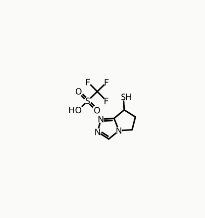 O=S(=O)(O)C(F)(F)F.SC1CCn2cnnc21